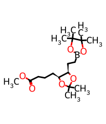 COC(=O)CCC[C@@H]1OC(C)(C)O[C@@H]1CCB1OC(C)(C)C(C)(C)O1